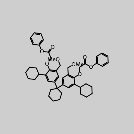 COCc1cc(C2(c3cc(COC)c(OCC(=O)Oc4ccccc4)c(C4CCCCC4)c3)CCCCC2)cc(C2CCCCC2)c1OCC(=O)Oc1ccccc1